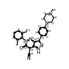 Cc1cccc(F)c1-n1nc2c(-c3ccc(N4CCN(C)CC4)cc3)n[nH]c2c(C#N)c1=O